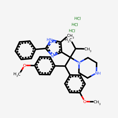 COc1ccc(C(c2ccc(OC)cc2)C(c2nc(-c3ccccc3)[nH]c2C)(C(C)C)N2CCNCC2)cc1.Cl.Cl.Cl